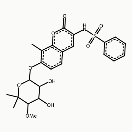 COC1C(O)C(O)C(Oc2ccc3cc(NS(=O)(=O)c4ccccc4)c(=O)oc3c2C)OC1(C)C